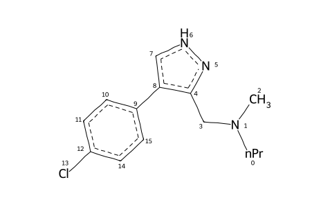 CCCN(C)Cc1n[nH]cc1-c1ccc(Cl)cc1